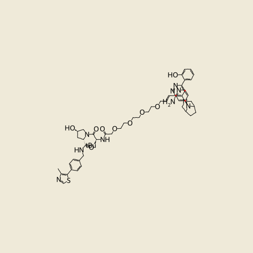 Cc1ncsc1-c1ccc(CNC(=O)[C@@H]2C[C@@H](O)CN2C(=O)[C@@H](NC(=O)COCCOCCOCCOC/C=C/c2cc(N3C4CCC3CN(c3cc(-c5ccccc5O)nnc3N)C4)ccn2)C(C)(C)C)cc1